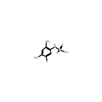 Cc1cc(C)c(NS(C)(=O)=O)cc1F